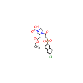 CCOC(=O)CC1CN(C(=O)O)CCN1C(=O)CCS(=O)(=O)c1ccc2cc(Cl)ccc2c1